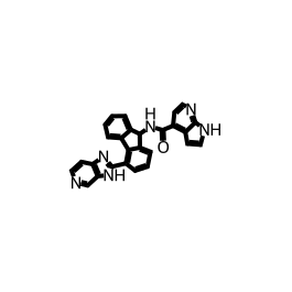 O=C(NC1c2ccccc2-c2c(-c3nc4ccncc4[nH]3)cccc21)c1ccnc2[nH]ccc12